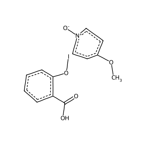 COc1cc[n+]([O-])cc1.O=C(O)c1ccccc1OI